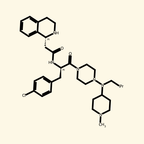 CC(C)CN(C1CCN(C)CC1)N1CCN(C(=O)[C@@H](Cc2ccc(Cl)cc2)NC(=O)C[C@H]2NCCc3ccccc32)CC1